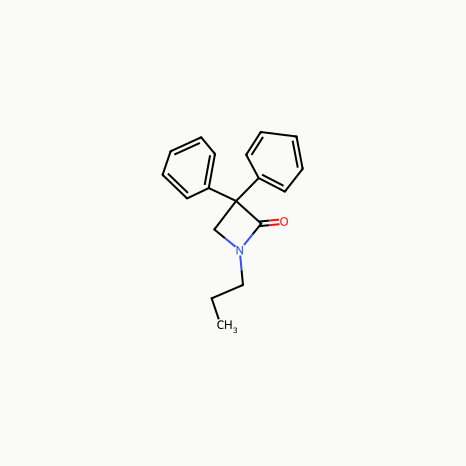 CCCN1CC(c2ccccc2)(c2ccccc2)C1=O